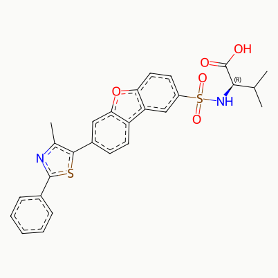 Cc1nc(-c2ccccc2)sc1-c1ccc2c(c1)oc1ccc(S(=O)(=O)N[C@@H](C(=O)O)C(C)C)cc12